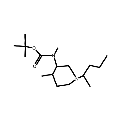 CCCC(C)N1CCC(C)C(N(C)C(=O)OC(C)(C)C)C1